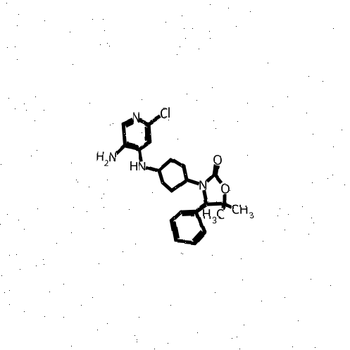 CC1(C)OC(=O)N(C2CCC(Nc3cc(Cl)ncc3N)CC2)C1c1ccccc1